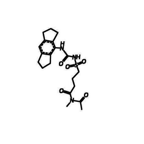 CC(=O)N(C)C(=O)CCCS(=O)(=O)NC(=O)Nc1c2c(cc3c1CCC3)CCC2